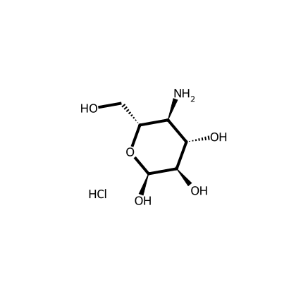 Cl.N[C@H]1[C@H](O)[C@@H](O)[C@@H](O)O[C@@H]1CO